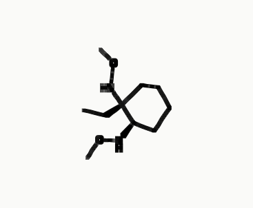 CC[C@@]1(NOC)CCCC[C@H]1NOC